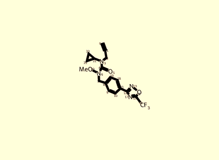 C#CCN(C(=O)N(Cc1ccc(-c2noc(C(F)(F)F)n2)cc1)OC)C1CC1